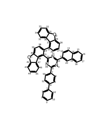 c1ccc(-c2ccc(-c3nc(-c4ccc5ccccc5c4)nc(-c4c(-c5cccc6oc7ccccc7c56)ccc5oc6ccccc6c45)n3)cc2)cc1